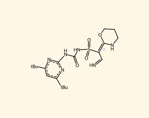 CC(C)(C)c1cc(C(C)(C)C)nc(NC(=O)NS(=O)(=O)/C(C=N)=C2/NCCCO2)n1